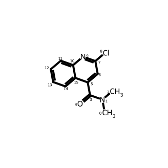 CN(C)C(=O)c1cc(Cl)nc2ccccc12